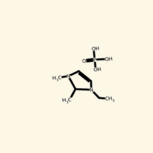 CCN1C=CN(C)C1C.O=P(O)(O)O